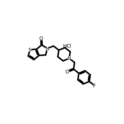 Cl.O=C(CN1CCC(CN2Cc3ccsc3C2=O)CC1)c1ccc(F)cc1